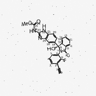 C#Cc1cccc(N2C(=O)c3ccccc3C2(O)c2ccc3[nH]c(NC(=O)OC)nc3c2)c1F